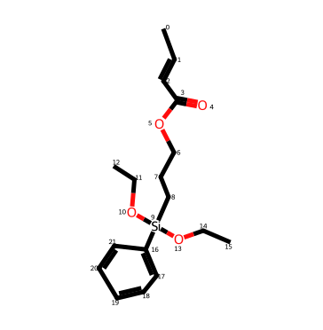 CC=CC(=O)OCCC[Si](OCC)(OCC)c1ccccc1